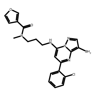 Bc1cnn2c(NCCCN(C)C(=O)c3ccoc3)cc(-c3ccccc3Cl)nc12